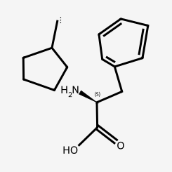 N[C@@H](Cc1ccccc1)C(=O)O.[C]C1CCCC1